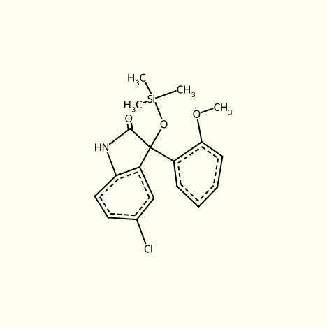 COc1ccccc1C1(O[Si](C)(C)C)C(=O)Nc2ccc(Cl)cc21